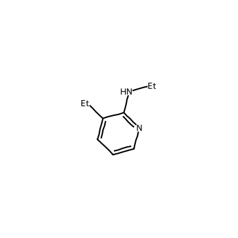 CCNc1ncccc1CC